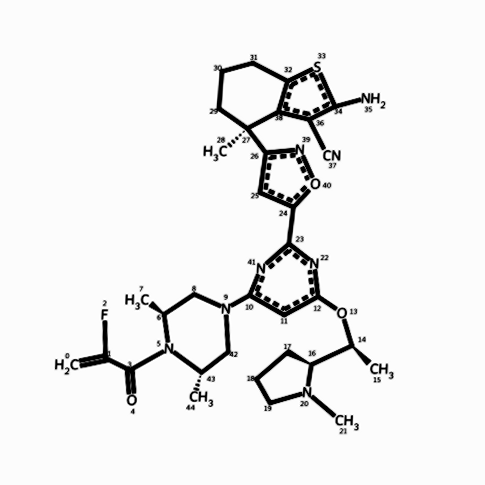 C=C(F)C(=O)N1[C@@H](C)CN(c2cc(O[C@@H](C)[C@@H]3CCCN3C)nc(-c3cc([C@@]4(C)CCCc5sc(N)c(C#N)c54)no3)n2)C[C@@H]1C